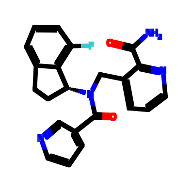 NC(=O)c1ncccc1CN(C(=O)c1cccnc1)[C@@H]1CCc2cccc(F)c21